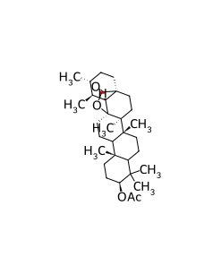 CC(=O)O[C@H]1CC[C@@]2(C)C(CC[C@]3(C)C2CC[C@]24OC(=O)[C@@]5(CC[C@@H](C)[C@H](C)[C@H]52)CC[C@]43C)C1(C)C